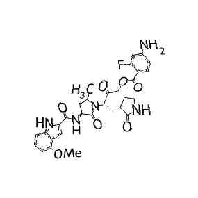 COc1cccc2[nH]c(C(=O)N[C@H]3CC(C)N([C@@H](C[C@@H]4CCNC4=O)C(=O)COC(=O)c4ccc(N)cc4F)C3=O)cc12